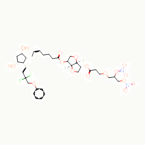 O=C(CCC/C=C\C[C@@H]1[C@@H](/C=C/C(F)(F)COc2ccccc2)[C@H](O)C[C@@H]1O)OC1CO[C@H]2[C@@H]1OC[C@H]2OC(=O)CCOCC(CO[N+](=O)[O-])O[N+](=O)[O-]